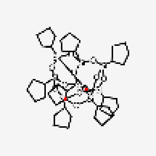 C1CCC([Si]23O[Si]4(C5CCCC5)O[Si]5(C6CCCC6)O[Si](C6CCCC6)(O2)O[Si]2(C6CCCC6)O[Si](C6CCCC6)(O3)O[Si](C3CCCC3)(O4)O[Si](C3CCCC3)(O5)O2)C1